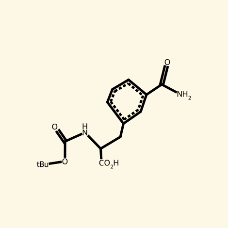 CC(C)(C)OC(=O)NC(Cc1cccc(C(N)=O)c1)C(=O)O